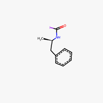 C[C@H](Cc1ccccc1)NC(=O)I